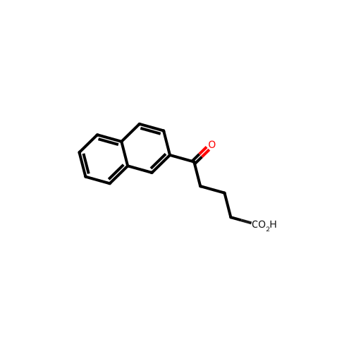 O=C(O)CCCC(=O)c1ccc2ccccc2c1